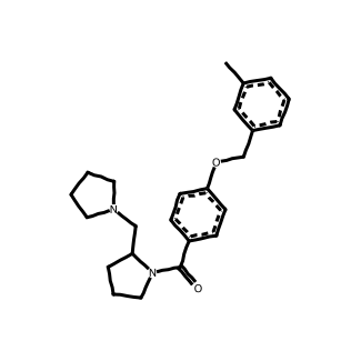 Cc1cccc(COc2ccc(C(=O)N3CCCC3CN3CCCC3)cc2)c1